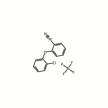 F[B-](F)(F)F.N#[N+]c1ccccc1Oc1ccccc1Cl